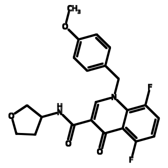 COc1ccc(Cn2cc(C(=O)NC3CCOC3)c(=O)c3c(F)ccc(F)c32)cc1